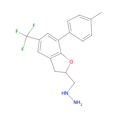 Cc1ccc(-c2cc(C(F)(F)F)cc3c2OC(CNN)C3)cc1